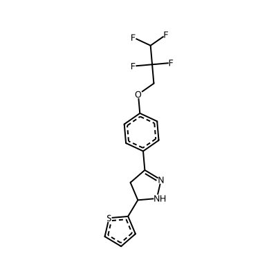 FC(F)C(F)(F)COc1ccc(C2=NNC(c3cccs3)C2)cc1